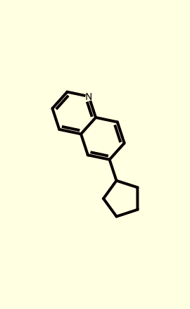 c1cnc2ccc(C3CCCC3)cc2c1